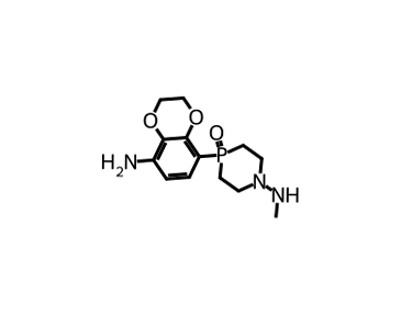 CNN1CCP(=O)(c2ccc(N)c3c2OCCO3)CC1